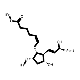 CCCCC[C@H](O)/C=C/[C@@H]1[C@@H](C/C=C\CCCC(=O)OC(C)C)[C@@H](OC(C)C)C[C@H]1O